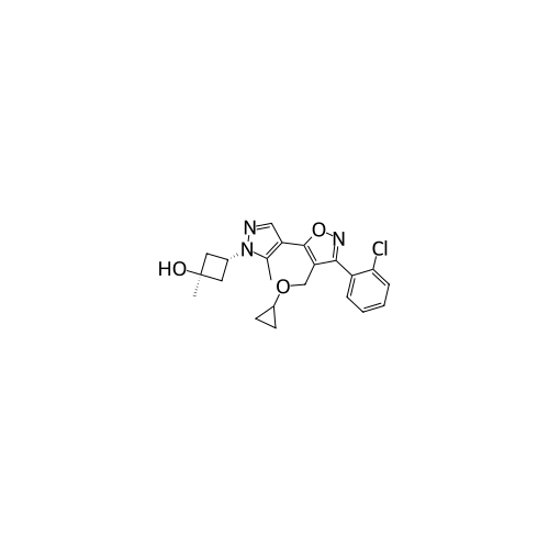 Cc1c(-c2onc(-c3ccccc3Cl)c2COC2CC2)cnn1[C@H]1C[C@](C)(O)C1